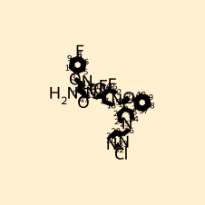 Nc1c(Oc2ccc(F)cc2)ncn(C[C@@]2(O)CCN(C(=O)[C@@H]3CCN(Cc4ccnc(Cl)n4)C[C@H]3c3ccccc3)CC2(F)F)c1=O